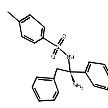 Cc1ccc(S(=O)(=O)N[C@@](N)(Cc2ccccc2)c2ccccc2)cc1